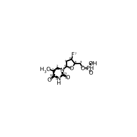 Cc1cn(C2CC(F)C(CO[PH](=O)O)O2)c(=O)[nH]c1=O